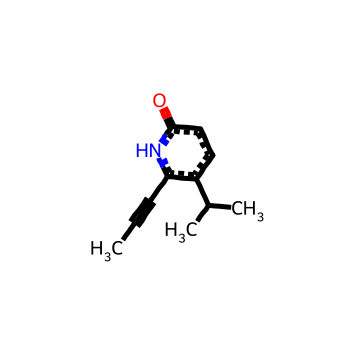 CC#Cc1[nH]c(=O)ccc1C(C)C